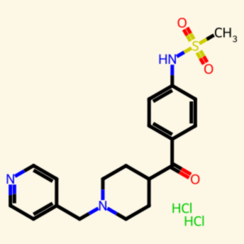 CS(=O)(=O)Nc1ccc(C(=O)C2CCN(Cc3ccncc3)CC2)cc1.Cl.Cl